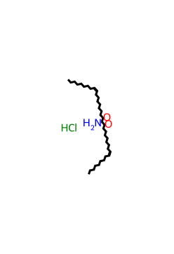 CCCCCCCC/C=C\CCCCCCCC(=O)C(N)C(=O)CCCCCCC/C=C\CCCCCCCC.Cl